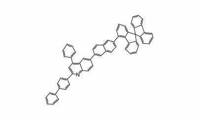 c1ccc(-c2ccc(-c3cc(-c4ccccc4)c4cc(-c5ccc6cc(-c7cccc8c7-c7ccccc7C87c8ccccc8-c8ccccc87)ccc6c5)ccc4n3)cc2)cc1